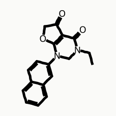 CCN1CN(c2ccc3ccccc3c2)C2=C(C(=O)CO2)C1=O